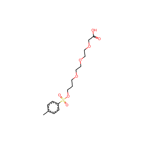 Cc1ccc(S(=O)(=O)OCCCOCCOCCOCC(=O)O)cc1